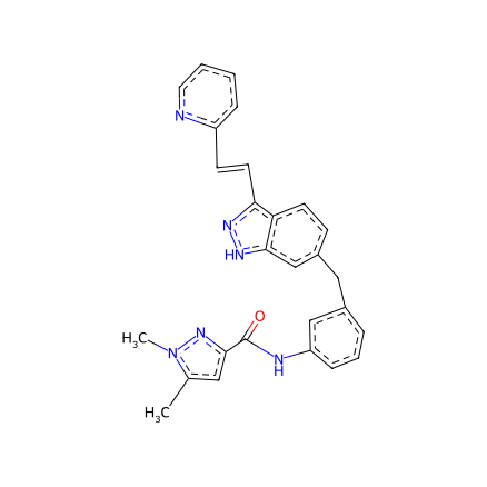 Cc1cc(C(=O)Nc2cccc(Cc3ccc4c(/C=C/c5ccccn5)n[nH]c4c3)c2)nn1C